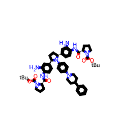 CC(C)(C)OC(=O)N1CCC[C@H]1C(=O)Nc1ccc([C@H]2CC[C@H](c3ccc(NC(=O)[C@@H]4CCCN4C(=O)OC(C)(C)C)c(N)c3)N2c2ccc(N3CCC(c4ccccc4)CC3)cc2)cc1N